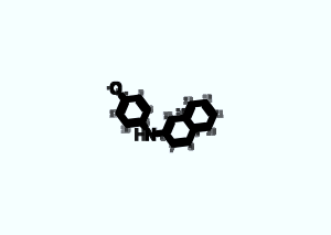 [O]c1ccc(Nc2ccc3ccccc3c2)cc1